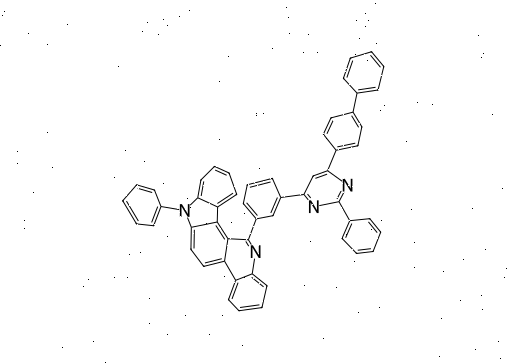 c1ccc(-c2ccc(-c3cc(-c4cccc(-c5nc6ccccc6c6ccc7c(c8ccccc8n7-c7ccccc7)c56)c4)nc(-c4ccccc4)n3)cc2)cc1